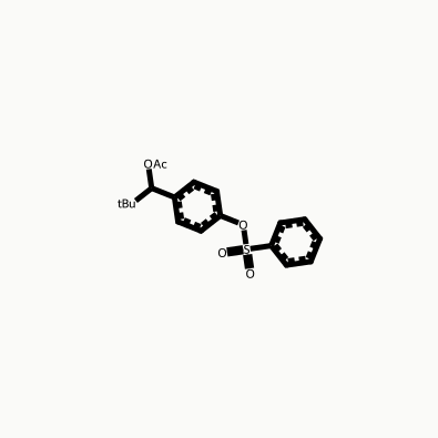 CC(=O)OC(c1ccc(OS(=O)(=O)c2ccccc2)cc1)C(C)(C)C